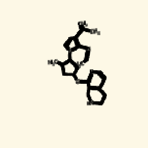 C=C(C)c1ccn(C2CC(Oc3nccc4c3CNCC4)CC2C)c1/N=C\C